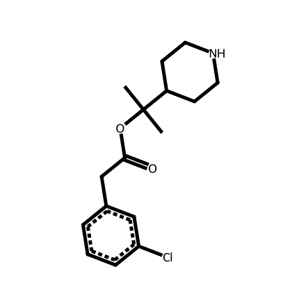 CC(C)(OC(=O)Cc1cccc(Cl)c1)C1CCNCC1